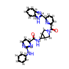 O=C(NC1C2CN(C(=O)c3cccc(-c4nc5ccccc5[nH]4)n3)CC21)c1ccnc(Nc2ccccc2)n1